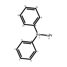 CCC[As](c1ccccc1)c1ccccc1